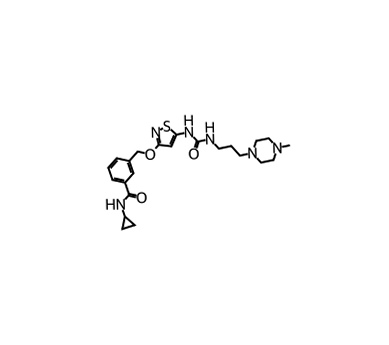 CN1CCN(CCCNC(=O)Nc2cc(OCc3cccc(C(=O)NC4CC4)c3)ns2)CC1